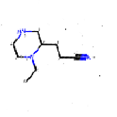 [CH2]CN1CCNCC1CCC#N